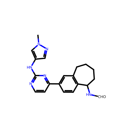 Cn1cc(Nc2nccc(-c3ccc4c(c3)CCCCC4NC=O)n2)cn1